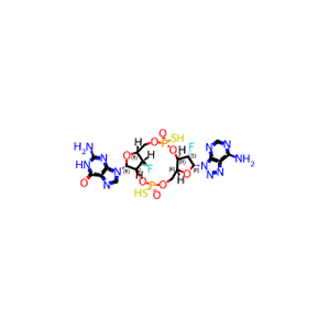 Nc1nc2c(ncn2[C@@H]2O[C@@H]3COP(=O)(S)O[C@H]4[C@H](F)[C@H](n5nnc6c(N)ncnc65)O[C@@H]4COP(=O)(S)O[C@@H]2[C@H]3F)c(=O)[nH]1